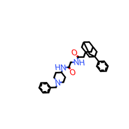 O=C(CC12CC3CC(C1)CC(c1ccccc1)(C3)C2)NCC(=O)NC1CCN(Cc2ccccc2)CC1